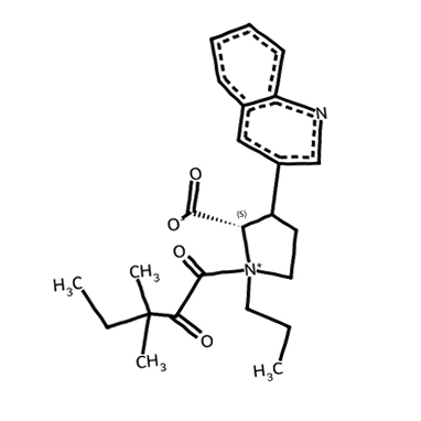 CCC[N+]1(C(=O)C(=O)C(C)(C)CC)CCC(c2cnc3ccccc3c2)[C@H]1C(=O)[O-]